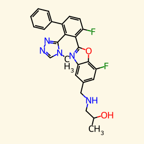 CC(O)CNCc1cc(F)c2oc(-c3c(F)ccc(-c4ccccc4)c3-c3nncn3C)nc2c1